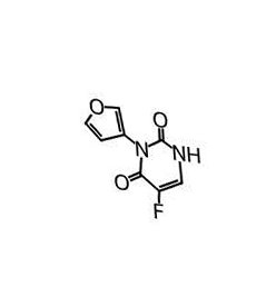 O=c1[nH]cc(F)c(=O)n1-c1ccoc1